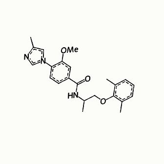 COc1cc(C(=O)NC(C)COc2c(C)cccc2C)ccc1-n1cnc(C)c1